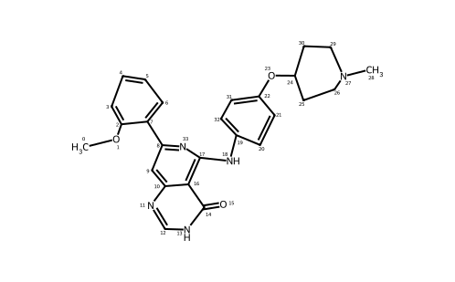 COc1ccccc1-c1cc2nc[nH]c(=O)c2c(Nc2ccc(OC3CCN(C)CC3)cc2)n1